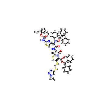 Cn1cc(SCSC2=C(C(=O)OC(c3ccccc3)c3ccccc3)N3C(=O)[C@@H](NC(=O)/C(=N\OC(c4ccccc4)(c4ccccc4)c4ccccc4)c4csc(NC(=O)OC(C)(C)C)n4)[C@@H]3SC2)nn1